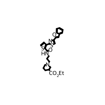 CCOC(=O)C1CCCN(CCCNC(=O)c2sccc2-c2nc(-c3cc4ccccc4o3)cs2)C1